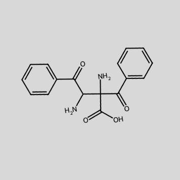 NC(C(=O)c1ccccc1)C(N)(C(=O)O)C(=O)c1ccccc1